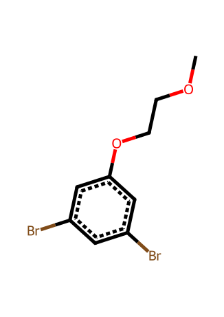 COCCOc1cc(Br)cc(Br)c1